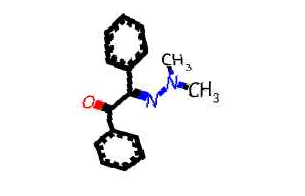 CN(C)N=C(C(=O)c1ccccc1)c1ccccc1